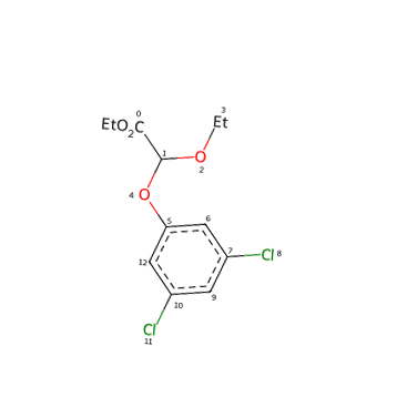 CCOC(=O)C(OCC)Oc1cc(Cl)cc(Cl)c1